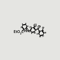 CCOC(=O)c1ccccc1Nc1ccc(C(=O)c2ccccc2C)c(Cl)c1